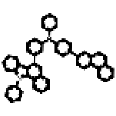 c1ccc(N(c2ccc(-c3ccc4c(ccc5ccccc54)c3)cc2)c2cccc(-c3cc4ccccc4c4c3c3ccccc3n4-c3ccccc3)c2)cc1